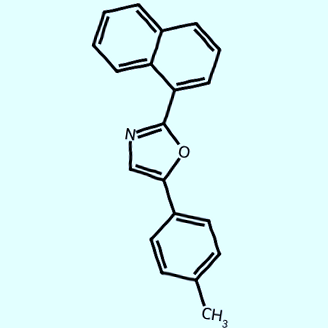 Cc1ccc(-c2cnc(-c3cccc4ccccc34)o2)cc1